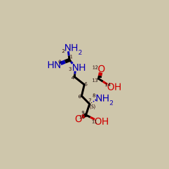 N=C(N)NCCC[C@H](N)C(=O)O.O=CO